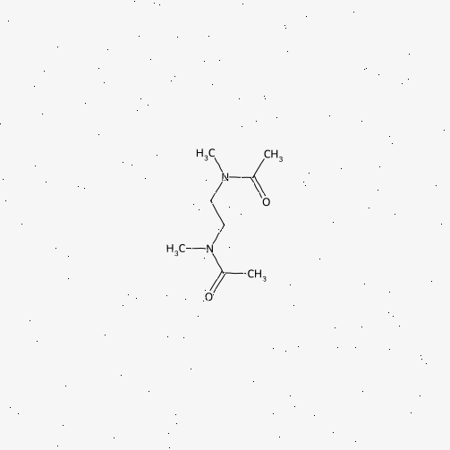 CC(=O)N(C)CCN(C)C(C)=O